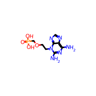 Nc1nc(N)n(CCOCP(=O)(O)O)c2ncnc1-2